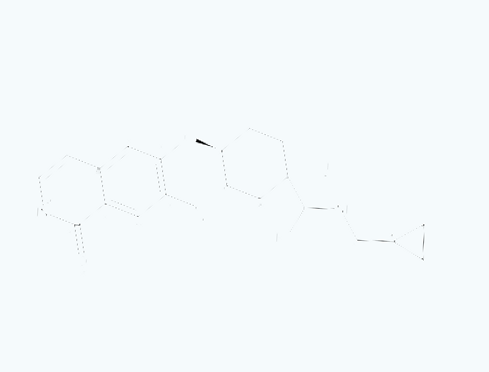 CCC(NCC1CC1)[C@]1(CC)CC[C@H](Oc2cc3cc[nH]c(=O)c3cc2Cl)CC1